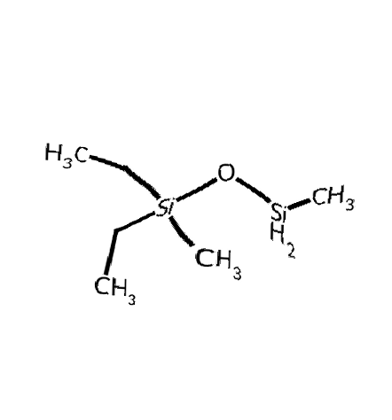 CC[Si](C)(CC)O[SiH2]C